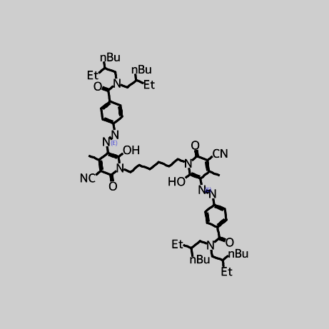 CCCCC(CC)CN(CC(CC)CCCC)C(=O)c1ccc(/N=N/c2c(C)c(C#N)c(=O)n(CCCCCCn3c(O)c(/N=N/c4ccc(C(=O)N(CC(CC)CCCC)CC(CC)CCCC)cc4)c(C)c(C#N)c3=O)c2O)cc1